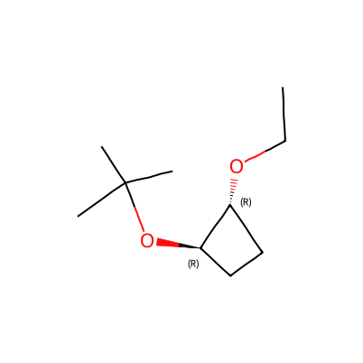 CCO[C@@H]1CC[C@H]1OC(C)(C)C